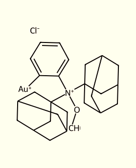 [CH]O[N+](c1cccc[c]1[Au+])(C12CC3CC(CC(C3)C1)C2)C12CC3CC(CC(C3)C1)C2.[Cl-]